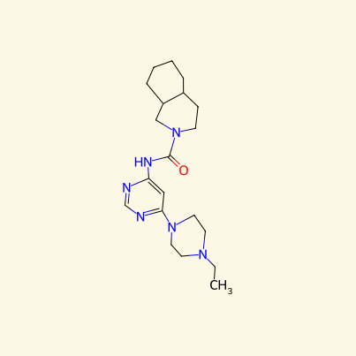 CCN1CCN(c2cc(NC(=O)N3CCC4CCCCC4C3)ncn2)CC1